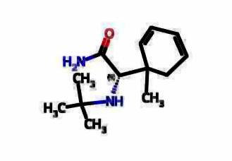 CC(C)(C)N[C@H](C(N)=O)C1(C)C=CC=CC1